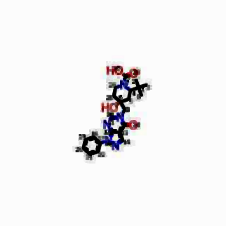 CC(C)(C)C1CC(O)(Cn2cnc3c(cnn3-c3ccccc3)c2=O)CCN1C(=O)O